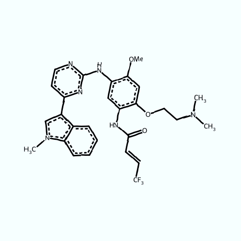 COc1cc(OCCN(C)C)c(NC(=O)/C=C/C(F)(F)F)cc1Nc1nccc(-c2cn(C)c3ccccc23)n1